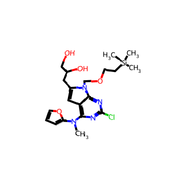 CN(c1ccco1)c1nc(Cl)nc2c1cc(CC(O)CO)n2COCC[Si](C)(C)C